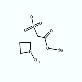 CC(C)(C)OC(=O)CS([O])(=O)=O.CN1CCC1